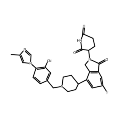 Cc1cn(-c2ccc(CN3CCC(c4cc(F)cc5c4CN(C4CCC(=O)NC4=O)C5=O)CC3)cc2C#N)cn1